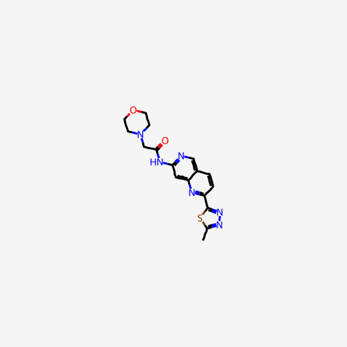 Cc1nnc(-c2ccc3cnc(NC(=O)CN4CCOCC4)cc3n2)s1